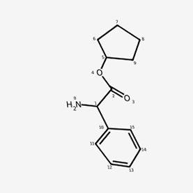 NC(C(=O)OC1CCCC1)c1ccccc1